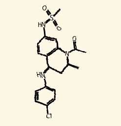 CC(=O)N1c2cc(NS(C)(=O)=O)ccc2C(Nc2ccc(Cl)cc2)CC1C